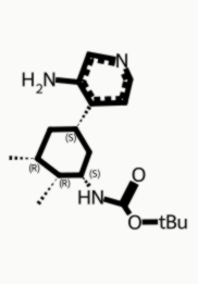 C[C@@H]1[C@H](C)C[C@H](c2ccncc2N)C[C@@H]1NC(=O)OC(C)(C)C